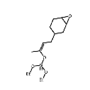 CCO[SiH](OCC)OC(C)=CCC1CCC2OC2C1